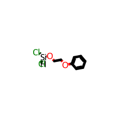 Cl[SiH](Cl)OCCOc1ccccc1